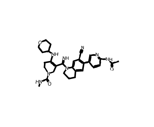 CNC(=O)N1CCC(NC2CCOCC2)=C(C(=N)N2CCCc3cc(-c4ccc(NC(C)=O)nc4)c(C#N)cc32)C1